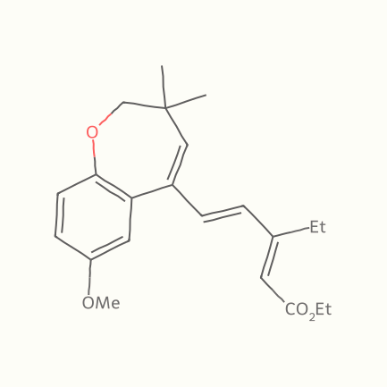 CCOC(=O)C=C(C=CC1=CC(C)(C)COc2ccc(OC)cc21)CC